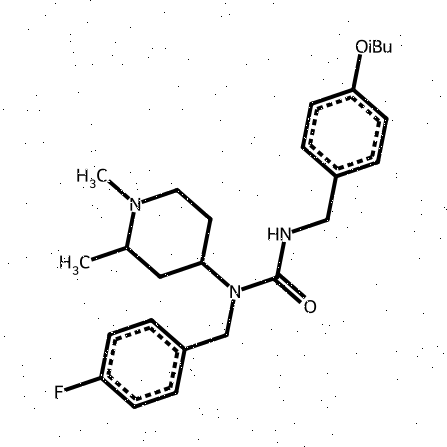 CC(C)COc1ccc(CNC(=O)N(Cc2ccc(F)cc2)C2CCN(C)C(C)C2)cc1